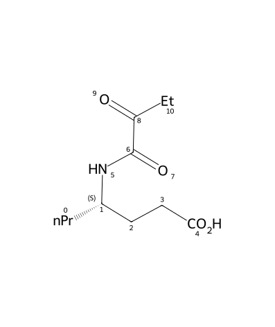 CCC[C@@H](CCC(=O)O)NC(=O)C(=O)CC